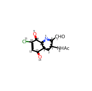 CC(=O)Nc1cc2c(nc1C=O)C(=O)C(Cl)=CC2=O